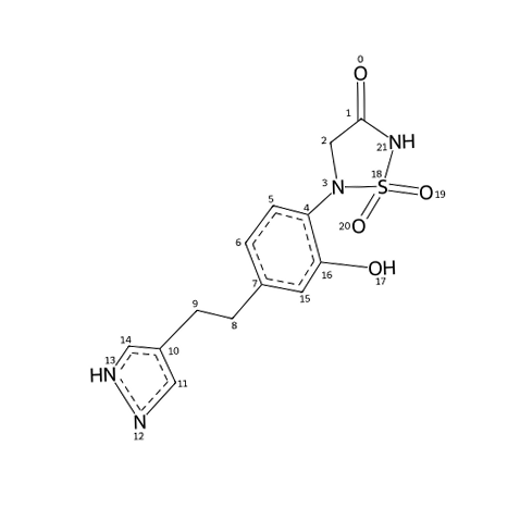 O=C1CN(c2ccc(CCc3cn[nH]c3)cc2O)S(=O)(=O)N1